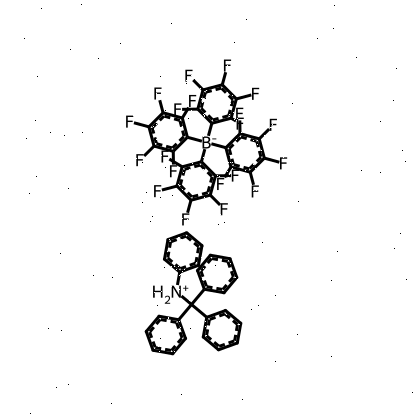 Fc1c(F)c(F)c([B-](c2c(F)c(F)c(F)c(F)c2F)(c2c(F)c(F)c(F)c(F)c2F)c2c(F)c(F)c(F)c(F)c2F)c(F)c1F.c1ccc([NH2+]C(c2ccccc2)(c2ccccc2)c2ccccc2)cc1